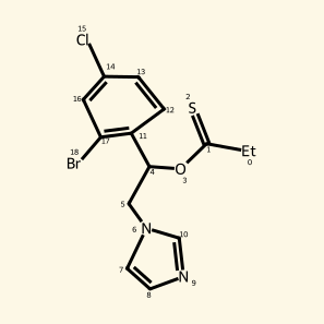 CCC(=S)OC(Cn1ccnc1)c1ccc(Cl)cc1Br